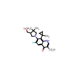 CC1(c2c(N3CC(CO)C(C)(C)C3)c(F)cc3c(=O)c(C(=O)O)c[nH]c23)CC1